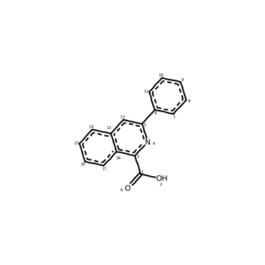 O=C(O)c1nc(-c2ccccc2)cc2ccccc12